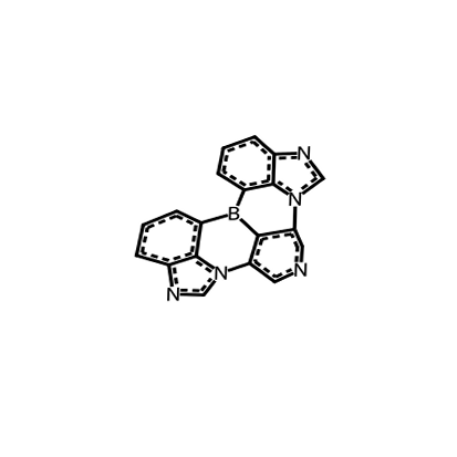 c1cc2c3c(c1)ncn3-c1cncc3c1B2c1cccc2ncn-3c12